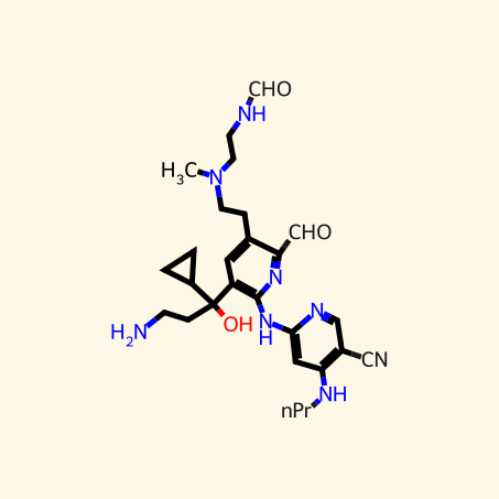 CCCNc1cc(Nc2nc(C=O)c(CCN(C)CCNC=O)cc2C(O)(CCN)C2CC2)ncc1C#N